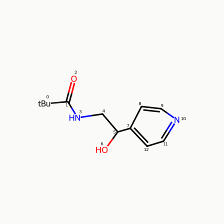 CC(C)(C)C(=O)NCC(O)c1ccncc1